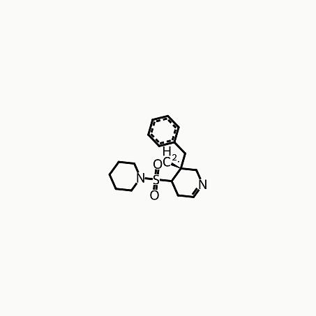 [CH2][C@@]1(Cc2ccccc2)CN=CCC1S(=O)(=O)N1CCCCC1